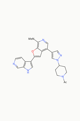 CNc1ncc(-c2cnn(C3CCN(C(C)=O)CC3)c2)c2cc(-c3c[nH]c4cnccc34)oc12